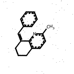 Cc1ccc2c(n1)/C(=C\c1ccccc1)CCC2